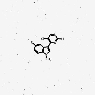 Cn1cc(-c2nc(Cl)ncc2Cl)c2cc(F)ccc21